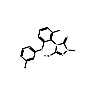 COc1nn(C)c(=O)n1-c1c(C)cccc1Oc1cccc(C)c1